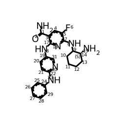 NC(=O)c1cc(F)c(NC2CCCC[C@@H]2N)nc1Nc1ccc(Nc2ccccc2)nc1